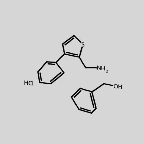 Cl.NCc1sccc1-c1ccccc1.OCc1ccccc1